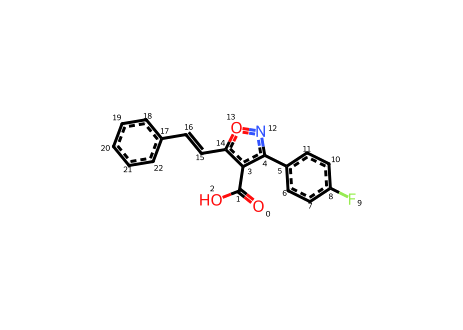 O=C(O)c1c(-c2ccc(F)cc2)noc1C=Cc1ccccc1